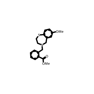 COC(=O)c1ccccc1CN1CCSc2ccc(OC)cc2C1